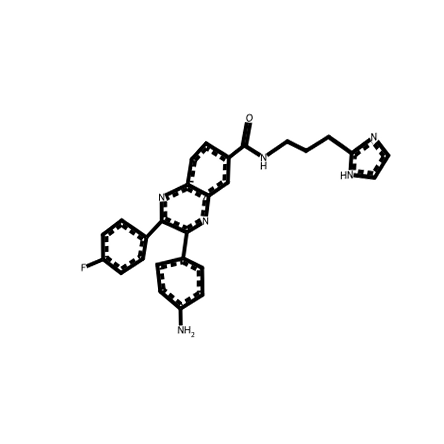 Nc1ccc(-c2nc3cc(C(=O)NCCCc4ncc[nH]4)ccc3nc2-c2ccc(F)cc2)cc1